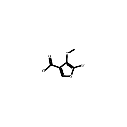 COc1c(C(=O)Cl)csc1Br